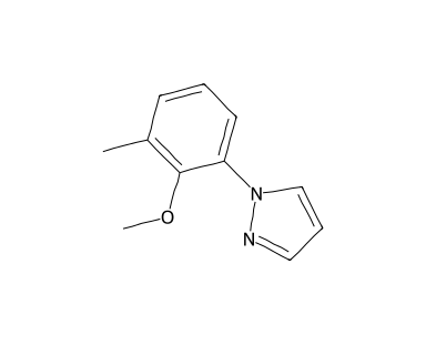 COc1c(C)cccc1-n1cccn1